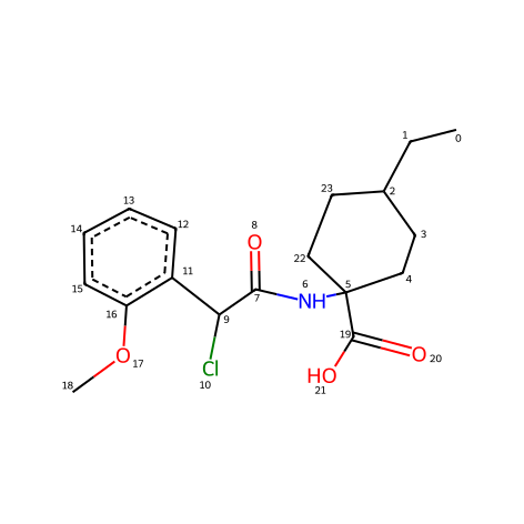 CCC1CCC(NC(=O)C(Cl)c2ccccc2OC)(C(=O)O)CC1